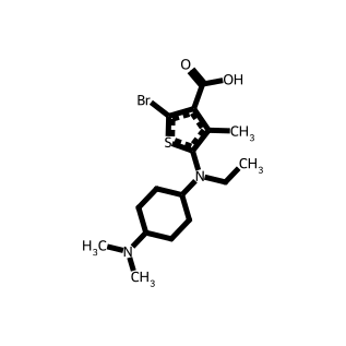 CCN(c1sc(Br)c(C(=O)O)c1C)C1CCC(N(C)C)CC1